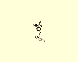 CC(=O)OCCc1ccc2[nH]c(CCl)nc2c1